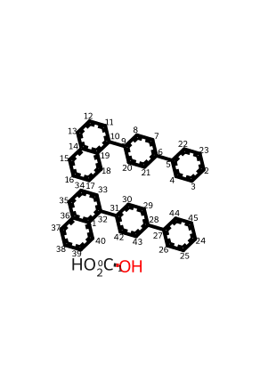 O=C(O)O.c1ccc(-c2ccc(-c3cccc4ccccc34)cc2)cc1.c1ccc(-c2ccc(-c3cccc4ccccc34)cc2)cc1